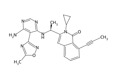 CC#Cc1cccc2cc([C@H](C)Nc3ncnc(N)c3-c3noc(C)n3)n(C3CC3)c(=O)c12